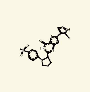 Cc1[nH]ncc1-c1cc2nc(C3CCCN3c3ccc(S(C)(=O)=O)cc3)[nH]c(=O)c2s1